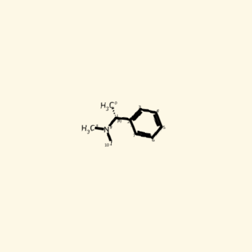 C[C@H](c1ccccc1)N(C)I